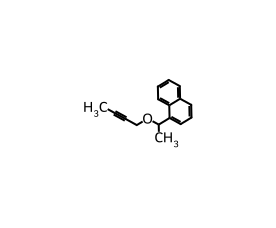 CC#CCOC(C)c1cccc2ccccc12